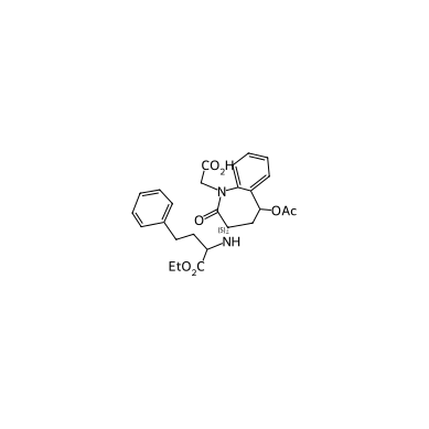 CCOC(=O)C(CCc1ccccc1)N[C@H]1CC(OC(C)=O)c2ccccc2N(CC(=O)O)C1=O